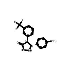 Nc1ccc([C@@H]2NNC(=O)[C@H]2c2cccc(C(F)(F)F)c2)cc1